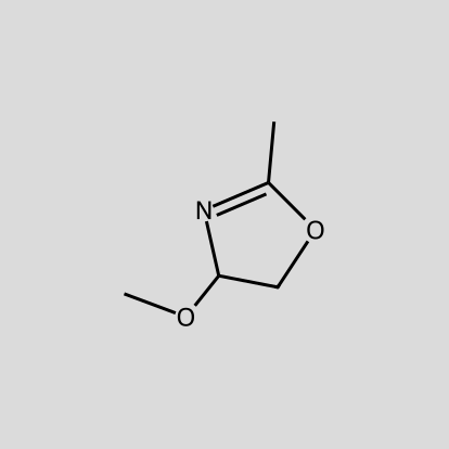 COC1COC(C)=N1